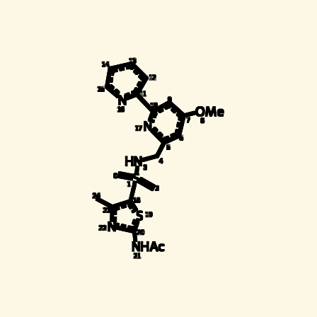 C=S(=C)(NCc1cc(OC)cc(-c2ccccn2)n1)c1sc(NC(C)=O)nc1C